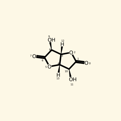 O=C1O[C@@H]2[C@@H](OC(=O)[C@H]2O)[C@@H]1O